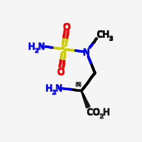 CN(C[C@H](N)C(=O)O)S(N)(=O)=O